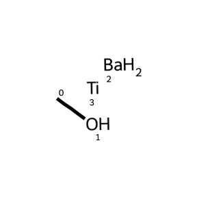 CO.[BaH2].[Ti]